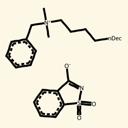 CCCCCCCCCCCCCC[N+](C)(C)Cc1ccccc1.O=S1(=O)N=C([O-])c2ccccc21